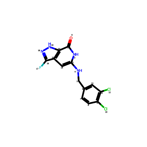 O=c1[nH]c(NCc2ccc(Cl)c(Cl)c2)cc2c(F)n[nH]c12